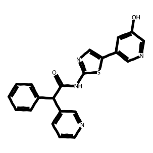 O=C(Nc1ncc(-c2cncc(O)c2)s1)C(c1ccccc1)c1cccnc1